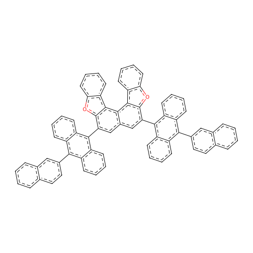 c1ccc2cc(-c3c4ccccc4c(-c4cc5cc(-c6c7ccccc7c(-c7ccc8ccccc8c7)c7ccccc67)c6oc7ccccc7c6c5c5c4oc4ccccc45)c4ccccc34)ccc2c1